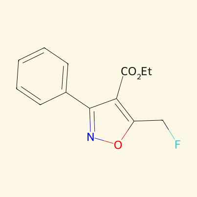 CCOC(=O)c1c(-c2ccccc2)noc1CF